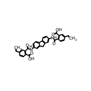 C=Cc1ccc(C(=O)Nc2ccc3c(c2)Cc2cc(NC(=O)c4cc(C=C)ccc4C(=O)O)ccc2-3)c(C(=O)O)c1